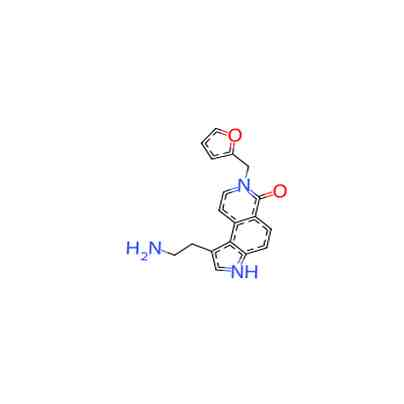 NCCc1c[nH]c2ccc3c(=O)n(Cc4ccco4)ccc3c12